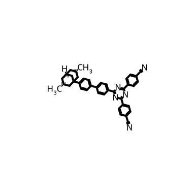 C[C@@H]1C[C@@H]2C[C@H](C)CC(c3ccc(-c4ccc(-c5nc(-c6ccc(C#N)cc6)nc(-c6ccc(C#N)cc6)n5)cc4)cc3)(C1)C2